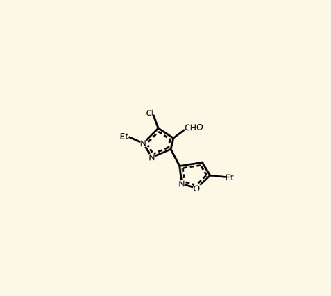 CCc1cc(-c2nn(CC)c(Cl)c2C=O)no1